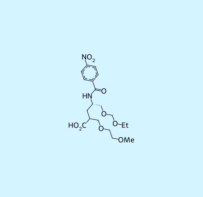 CCOCOC[C@H](CC(COCCOC)C(=O)O)NC(=O)c1ccc([N+](=O)[O-])cc1